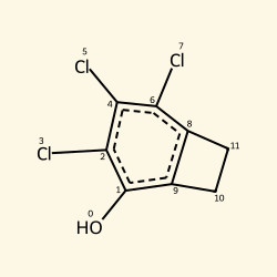 Oc1c(Cl)c(Cl)c(Cl)c2c1CC2